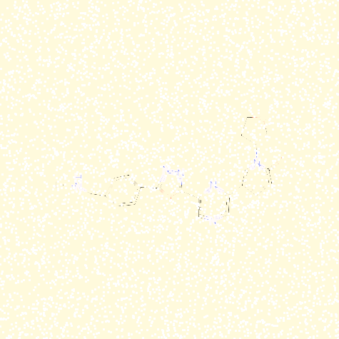 CNCc1ccc(-c2nnc(-c3cncc(-c4ccc(=O)n(C5CCOC5)c4)n3)o2)cc1